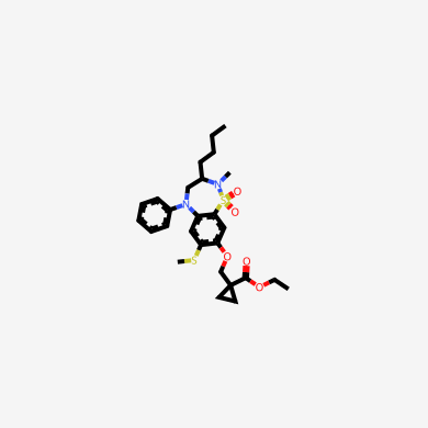 CCCCC1CN(c2ccccc2)c2cc(SC)c(OCC3(C(=O)OCC)CC3)cc2S(=O)(=O)N1C